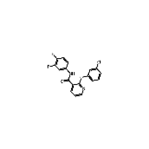 O=C(Nc1ccc(F)c(F)c1)c1cccnc1Oc1cccc(Cl)c1